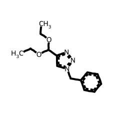 CCOC(OCC)c1cn(Cc2ccccc2)nn1